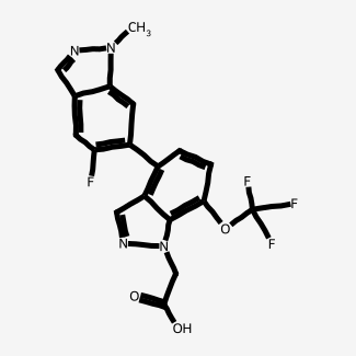 Cn1ncc2cc(F)c(-c3ccc(OC(F)(F)F)c4c3cnn4CC(=O)O)cc21